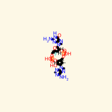 C[C@@H]1[C@@H](n2cnc3c(N)ncnc32)[C@H](O)[C@@H]2OP(=O)(O)OC[C@H]3O[C@@H](n4cnc5c(=O)[nH]c(N)nc54)[C@H](OP(=O)(O)OC[C@@]12C)[C@@H]3F